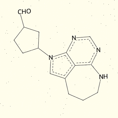 O=CC1CCC(n2cc3c4c(ncnc42)NCCC3)C1